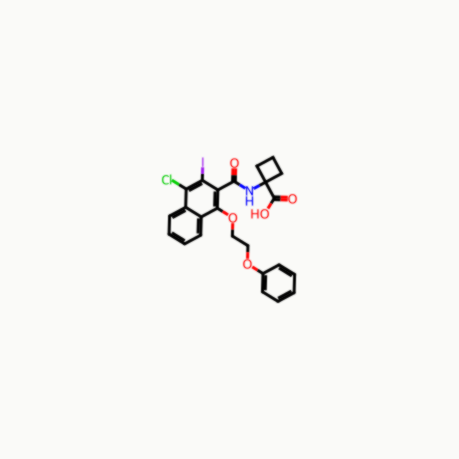 O=C(NC1(C(=O)O)CCC1)c1c(I)c(Cl)c2ccccc2c1OCCOc1ccccc1